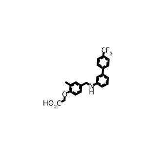 Cc1cc(CNc2cccc(-c3ccc(C(F)(F)F)cc3)c2)ccc1OCC(=O)O